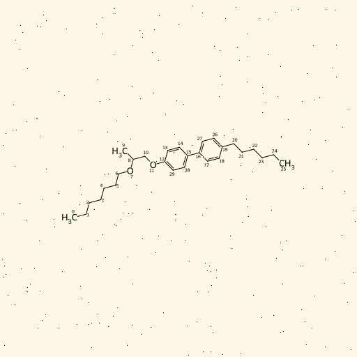 CCCCCCCOC(C)COc1ccc(-c2ccc(CCCCCC)cc2)cc1